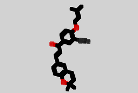 COc1cc(C(=O)C=Cc2ccc3c(c2)C=CC(C)(C)O3)ccc1OCC=C(C)C